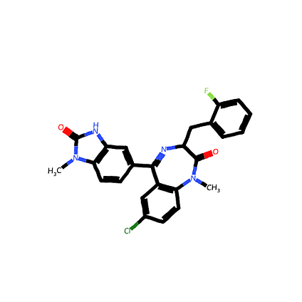 CN1C(=O)C(Cc2ccccc2F)N=C(c2ccc3c(c2)[nH]c(=O)n3C)c2cc(Cl)ccc21